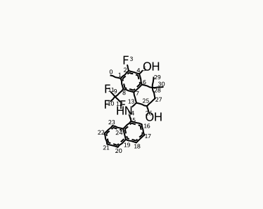 Cc1c(F)c(O)c2c(c1C(F)(F)F)C(Nc1cccc3ccccc13)C(O)CC2(C)C